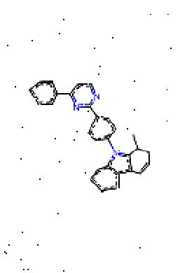 CC1CC=Cc2c1n(-c1ccc(-c3nccc(-c4ccccc4)n3)cc1)c1ccccc21